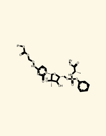 CC(C)OC(=O)OCONc1ccn([C@@H]2O[C@H](COP(=O)(N[C@@H](C)C(=O)OC(C)C)Oc3ccccc3)C(O)[C@@]2(C)O)c(=O)n1